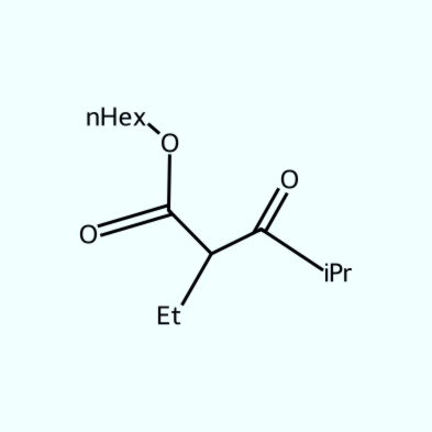 CCCCCCOC(=O)C(CC)C(=O)C(C)C